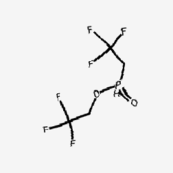 O=[PH](CC(F)(F)F)OCC(F)(F)F